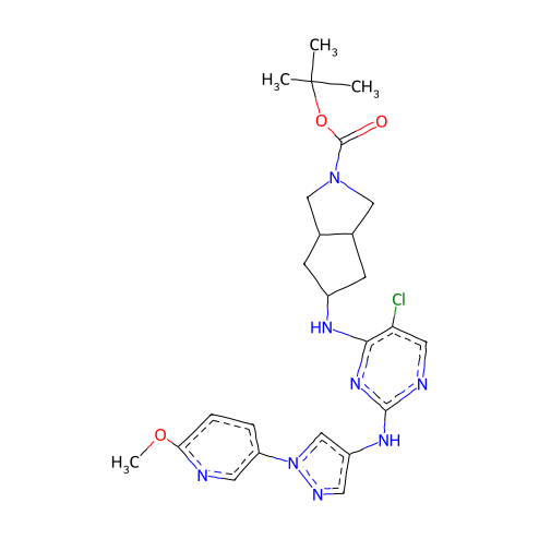 COc1ccc(-n2cc(Nc3ncc(Cl)c(NC4CC5CN(C(=O)OC(C)(C)C)CC5C4)n3)cn2)cn1